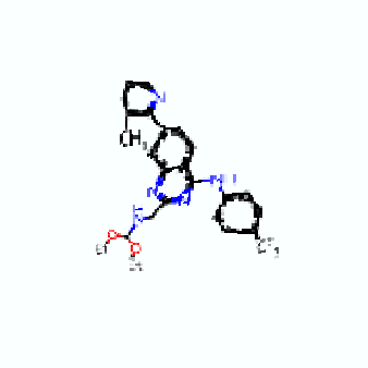 CCOC(NCc1nc(Nc2ccc(C(F)(F)F)cc2)c2ccc(-c3ncccc3C)cc2n1)OCC